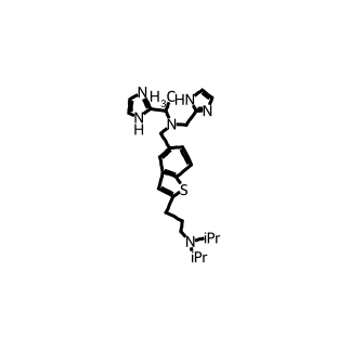 CC(c1ncc[nH]1)N(Cc1ccc2sc(CCCN(C(C)C)C(C)C)cc2c1)Cc1ncc[nH]1